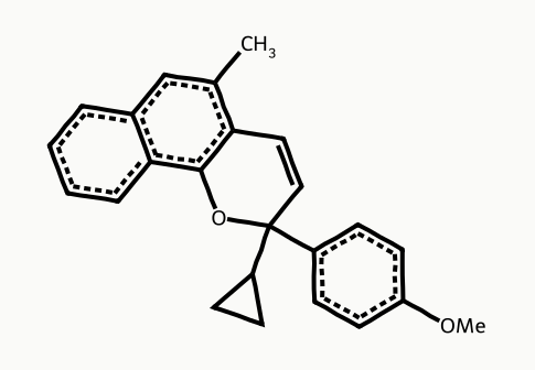 COc1ccc(C2(C3CC3)C=Cc3c(C)cc4ccccc4c3O2)cc1